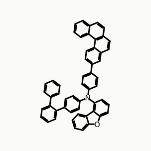 c1ccc(-c2ccccc2-c2ccc(N(c3ccc(-c4ccc5c(ccc6ccc7ccccc7c65)c4)cc3)c3cccc4oc5ccccc5c34)cc2)cc1